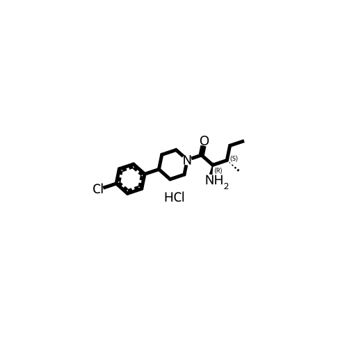 CC[C@H](C)[C@@H](N)C(=O)N1CCC(c2ccc(Cl)cc2)CC1.Cl